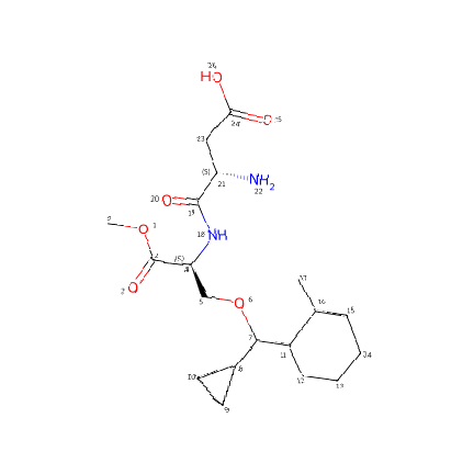 COC(=O)[C@H](COC(C1CC1)C1CCCCC1C)NC(=O)[C@@H](N)CC(=O)O